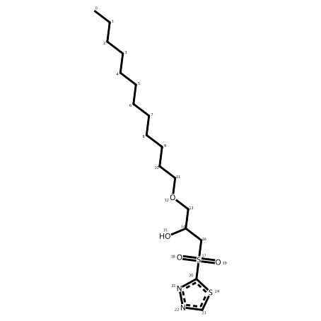 CCCCCCCCCCCCOCC(O)CS(=O)(=O)c1nncs1